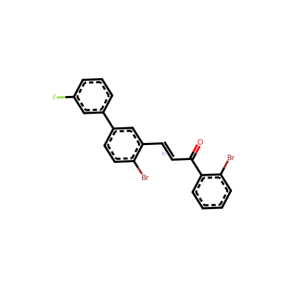 O=C(/C=C/c1cc(-c2cccc(F)c2)ccc1Br)c1ccccc1Br